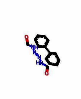 O=CNN=NNC=O.c1ccc(-c2ccccc2)cc1